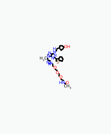 CC(=O)NCCOCCOCCOCCn1cc(C(C)n2cnc3c(NCCc4ccc(O)cc4)nc(-c4csc5ccccc45)nc32)nn1